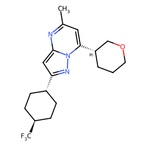 Cc1cc([C@H]2CCCOC2)n2nc([C@H]3CC[C@H](C(F)(F)F)CC3)cc2n1